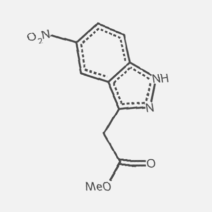 COC(=O)Cc1n[nH]c2ccc([N+](=O)[O-])cc12